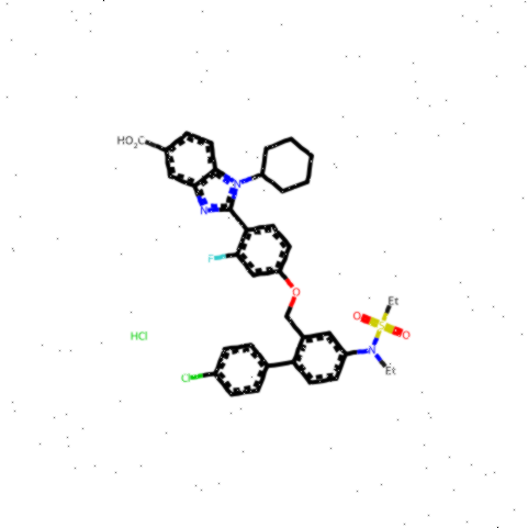 CCN(c1ccc(-c2ccc(Cl)cc2)c(COc2ccc(-c3nc4cc(C(=O)O)ccc4n3C3CCCCC3)c(F)c2)c1)S(=O)(=O)CC.Cl